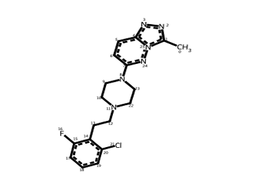 Cc1nnc2ccc(N3CCN(CCc4c(F)cccc4Cl)CC3)nn12